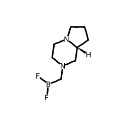 FB(F)CN1CCN2CCC[C@@H]2C1